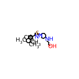 CC1(C)CCC(C)(C)c2cc(-c3csc(N4CCCC(NCCCO)CC4)n3)ccc21